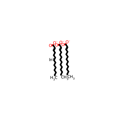 CCCCCCCCCCCC=CC(=O)[O-].CCCCCCCCCCCC=CC(=O)[O-].CCCCCCCCCCCC=CC(=O)[O-].[In+3]